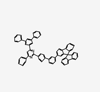 c1ccc(-c2cc(-c3ccccc3)cc(-c3cc(-c4ccccc4)nc(-c4ccc(-c5cccc(-c6ccc7c(c6)C6(c8ccccc8-c8ccccc86)c6ccccc6-7)c5)cc4)n3)c2)cc1